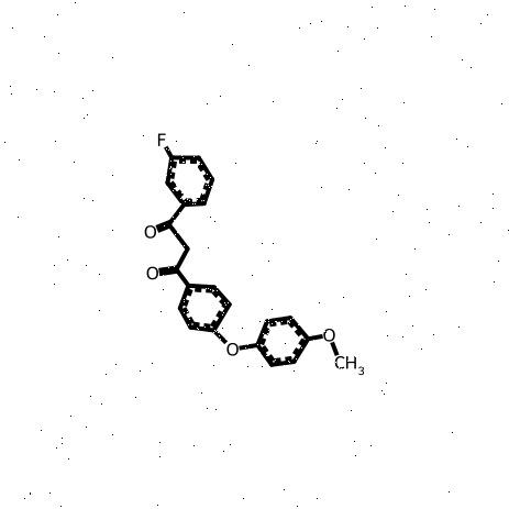 COc1ccc(Oc2ccc(C(=O)CC(=O)c3cccc(F)c3)cc2)cc1